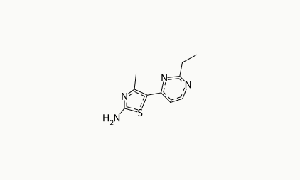 CCc1nccc(-c2sc(N)nc2C)n1